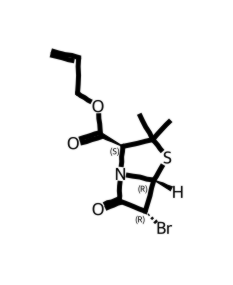 C=CCOC(=O)[C@@H]1N2C(=O)[C@@H](Br)[C@H]2SC1(C)C